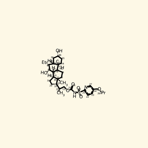 CC[C@H]1[C@@H](O)[C@@H]2[C@H](CC[C@]3(C)[C@@H]([C@H](C)COC(=O)NS(=O)(=O)c4ccc(OC(C)C)cn4)CC[C@@H]23)[C@@]2(C)CC[C@@H](O)C[C@@H]12